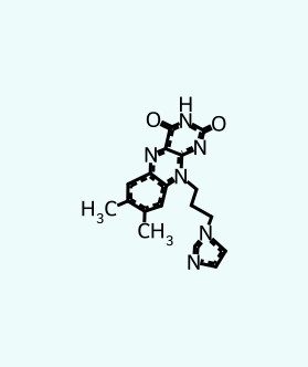 Cc1cc2nc3c(=O)[nH]c(=O)nc-3n(CCCn3ccnc3)c2cc1C